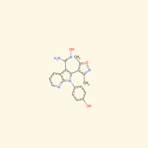 Cc1noc(C)c1-c1c(/C(N)=N/O)c2cccnc2n1-c1ccc(O)cc1